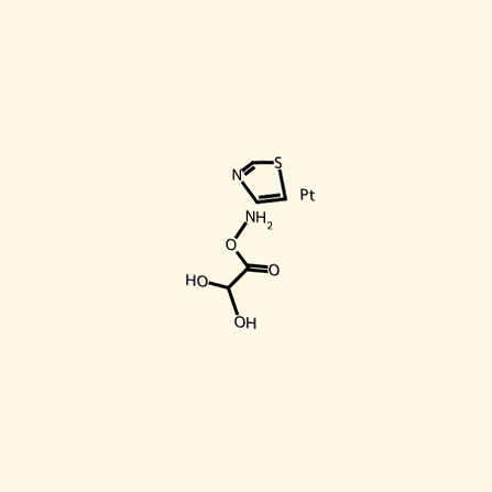 NOC(=O)C(O)O.[Pt].c1cscn1